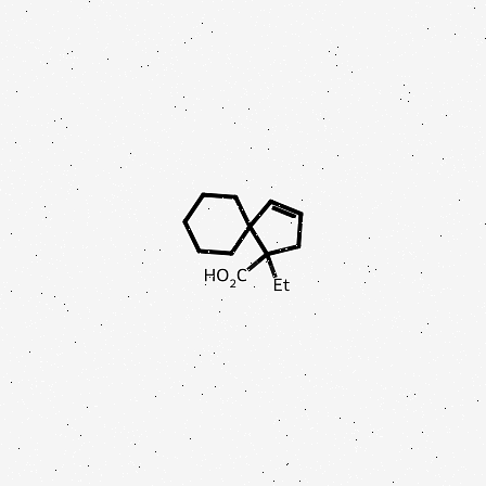 CCC1(C(=O)O)CC=CC12CCCCC2